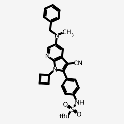 CN(Cc1ccccc1)c1cnc2c(c1)c(C#N)c(-c1ccc(NS(=O)(=O)C(C)(C)C)cc1)n2C1CCC1